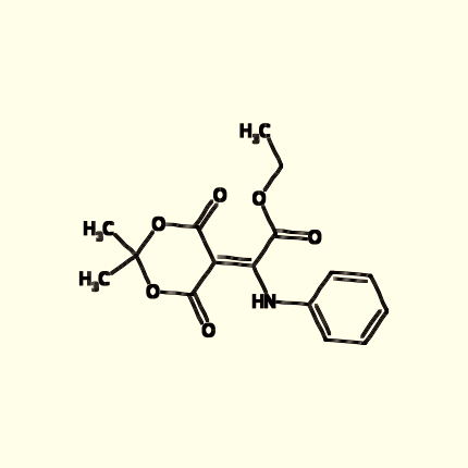 CCOC(=O)C(Nc1ccccc1)=C1C(=O)OC(C)(C)OC1=O